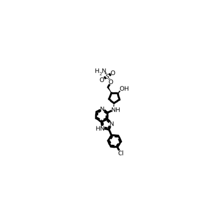 NS(=O)(=O)OC[C@@H]1C[C@@H](Nc2nccc3[nH]c(-c4ccc(Cl)cc4)nc23)C[C@@H]1O